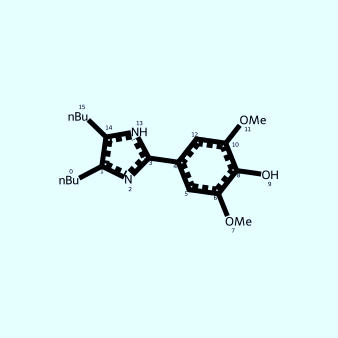 CCCCc1nc(-c2cc(OC)c(O)c(OC)c2)[nH]c1CCCC